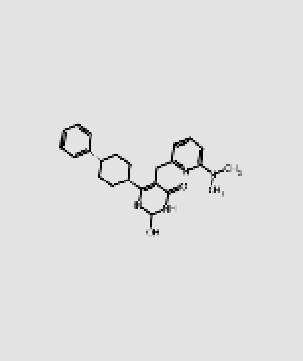 CN(C)c1cccc(CC2=C([C@H]3CC[C@H](c4ccccc4)CC3)NC(O)NC2=O)n1